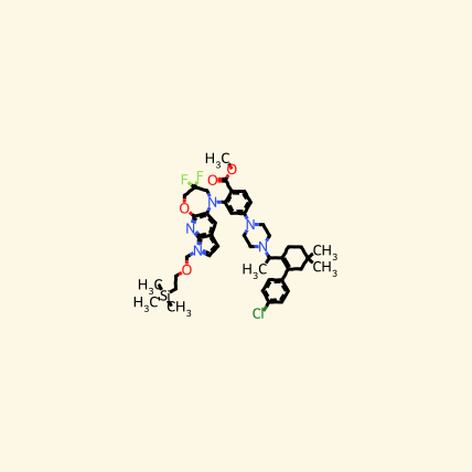 COC(=O)c1ccc(N2CCN(C(C)C3=C(c4ccc(Cl)cc4)CC(C)(C)CC3)CC2)cc1N1CC(F)(F)COc2nc3c(ccn3COCC[Si](C)(C)C)cc21